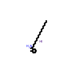 CCCCCCCCCCCCCCCCCCC(C)(N)c1ccccc1C.I